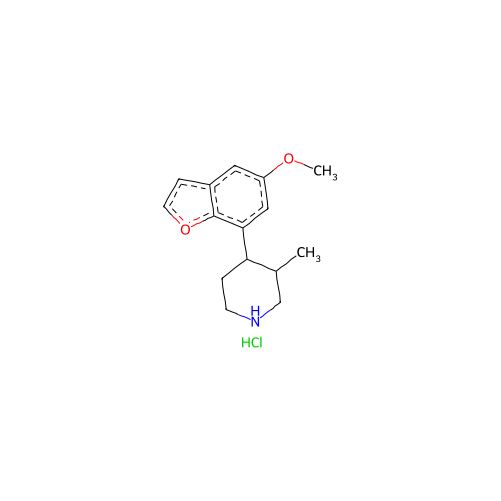 COc1cc(C2CCNCC2C)c2occc2c1.Cl